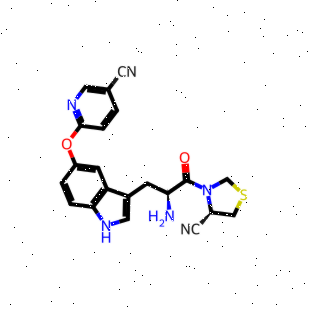 N#Cc1ccc(Oc2ccc3[nH]cc(C[C@H](N)C(=O)N4CSC[C@H]4C#N)c3c2)nc1